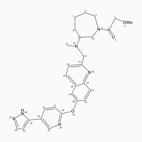 COCC(=O)N1CCCCC(N(C)Cc2ccc3cc(Oc4ccc(-c5ccn[nH]5)cn4)ccc3n2)C1